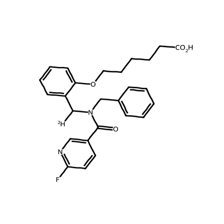 [2H]C(c1ccccc1OCCCCCC(=O)O)N(Cc1ccccc1)C(=O)c1ccc(F)nc1